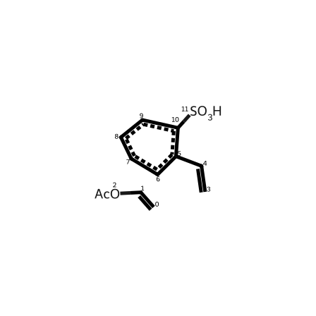 C=COC(C)=O.C=Cc1ccccc1S(=O)(=O)O